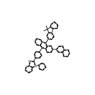 CC1(C)c2ccccc2-c2ccc(-c3c4ccccc4c(-c4ccc(-c5nc6ccccc6n5-c5ccccc5)cc4)c4ccc(-c5ccc6ccccc6c5)cc34)cc21